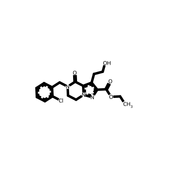 CCOC(=O)c1nn2c(c1CCO)C(=O)N(Cc1ccccc1Cl)CC2